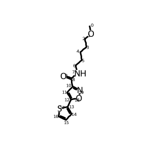 COCCCCCNC(=O)c1cc(-c2cccs2)on1